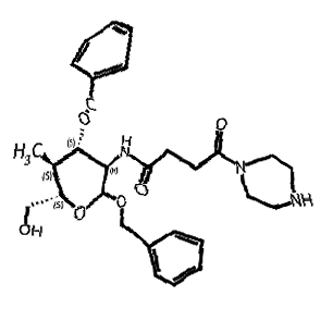 C[C@H]1[C@H](OCc2ccccc2)[C@@H](NC(=O)CCC(=O)N2CCNCC2)C(OCc2ccccc2)O[C@@H]1CO